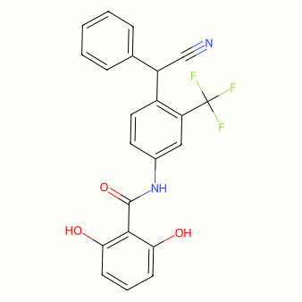 N#CC(c1ccccc1)c1ccc(NC(=O)c2c(O)cccc2O)cc1C(F)(F)F